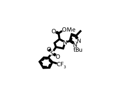 COC(=O)C1CC(S(=O)(=O)c2ccccc2C(F)(F)F)CN1c1cc(C)nn1C(C)(C)C